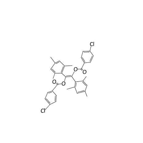 Cc1cc(C)c(/C(OC(=O)c2ccc(Cl)cc2)=C(\OC(=O)c2ccc(Cl)cc2)c2c(C)cc(C)cc2C)c(C)c1